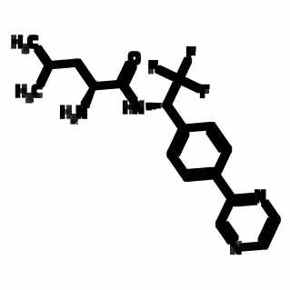 CC(C)C[C@H](N)C(=O)N[C@@H](c1ccc(-c2cnccn2)cc1)C(F)(F)F